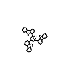 c1ccc2c(c1)oc1c(-c3cc(-c4cccc5c4sc4ccccc45)nc(-c4cccc5c4sc4ccccc45)c3)cccc12